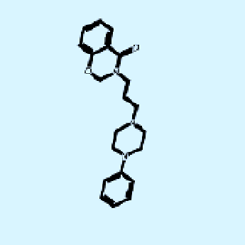 O=C1c2ccccc2OCN1CCCN1CCN(c2ccccc2)CC1